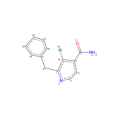 NC(=O)c1ccnc(Cc2ccccc2)c1Br